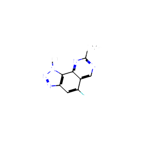 COc1ncc2c(F)cc3nnn(C(C)C)c3c2n1